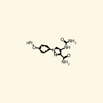 CCCOc1ccc(-n2cc(NC(N)=O)c(C(N)=O)n2)cc1